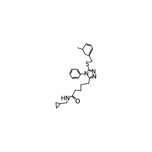 CC1C=CC=C(CSc2nnc(CCCCC(=O)NCC3CC3)n2-c2ccccc2)C1